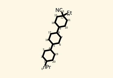 CCCC1CCC(C2CCC(C3CCC(C#N)(CC)CC3)CC2)CC1